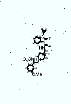 COc1cccc(C(CN2CCC(CNC(=O)n3c(=O)n(C4CC4)c4ccccc43)CC2)NC(=O)O)c1.Cl